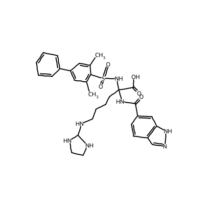 Cc1cc(-c2ccccc2)cc(C)c1S(=O)(=O)NC(CCCCNC1NCCN1)(NC(=O)c1ccc2cn[nH]c2c1)C(=O)O